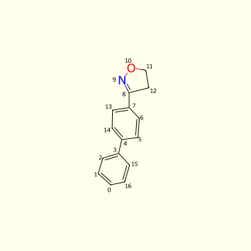 c1ccc(-c2ccc(C3=NOCC3)cc2)cc1